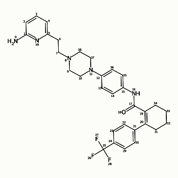 Nc1cccc(CCN2CCN(c3ccc(NC(=O)C4=C(c5ccc(C(F)(F)F)cc5)CCCC4)cc3)CC2)n1